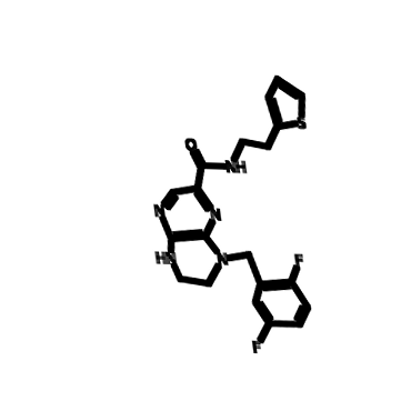 O=C(NCCc1cccs1)c1cnc2c(n1)N(Cc1cc(F)ccc1F)CCN2